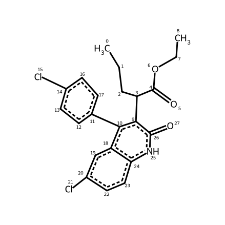 CCCC(C(=O)OCC)c1c(-c2ccc(Cl)cc2)c2cc(Cl)ccc2[nH]c1=O